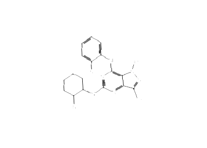 CC(C)c1nn(C(C)C)c2c(Nc3ccccc3N)nc(NC3CCCCC3N)nc12